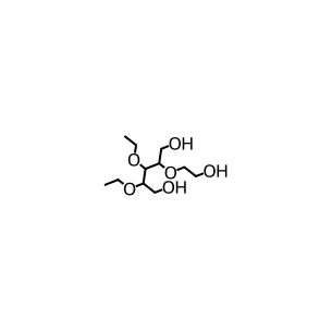 CCOC(CO)C(OCC)C(CO)OCCO